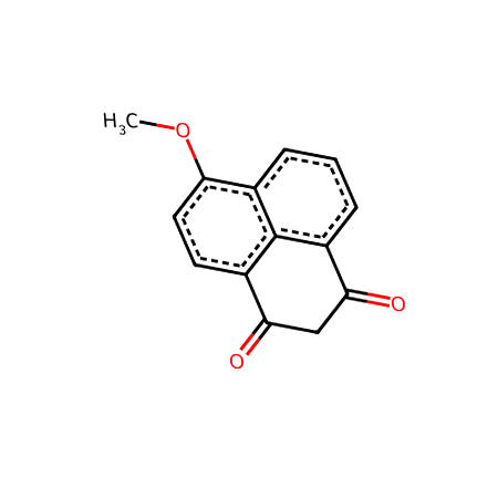 COc1ccc2c3c(cccc13)C(=O)CC2=O